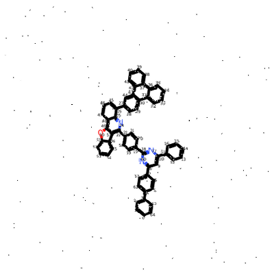 c1ccc(-c2ccc(-c3cc(-c4ccccc4)nc(-c4ccc(-c5nc6c(-c7ccc8c9ccccc9c9ccccc9c8c7)cccc6c6oc7ccccc7c56)cc4)n3)cc2)cc1